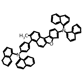 Cc1ccc2c(ccc3oc4cc(N(c5cccc6ccccc56)c5cccc6ccccc56)ccc4c32)c1-c1ccc(N(c2cccc3c2C=CCC3)c2cccc3ccccc23)cc1